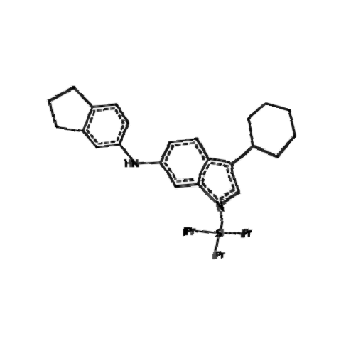 CC(C)[Si](C(C)C)(C(C)C)n1cc(C2CCCCC2)c2ccc(Nc3ccc4c(c3)CCC4)cc21